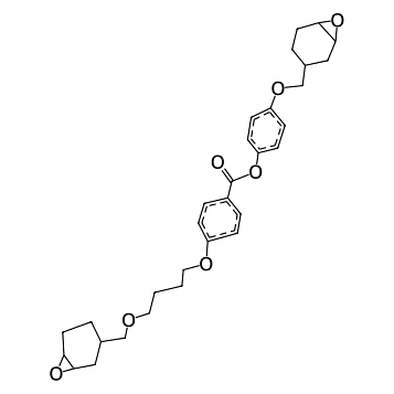 O=C(Oc1ccc(OCC2CCC3OC3C2)cc1)c1ccc(OCCCCOCC2CCC3OC3C2)cc1